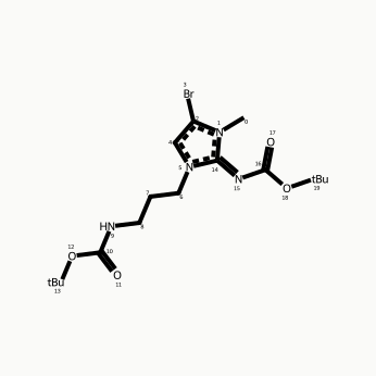 Cn1c(Br)cn(CCCNC(=O)OC(C)(C)C)/c1=N/C(=O)OC(C)(C)C